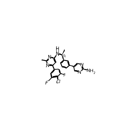 Cc1nc(N[C@@H](C)c2cccc(-c3cnc(N)nc3)c2)cc(-c2cc(F)c(Cl)c(F)c2)n1